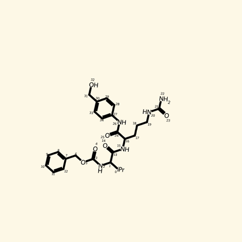 CC(C)C(NC(=O)OCc1ccccc1)C(=O)NC(CCCNC(N)=O)C(=O)Nc1ccc(CO)cc1